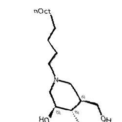 CCCCCCCCCCCCN1C[C@@H](CO)[C@H](O)[C@@H](O)C1